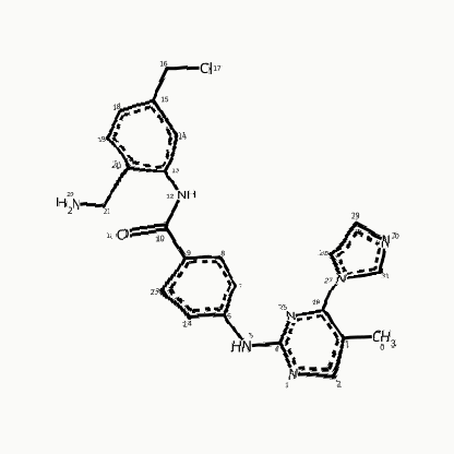 Cc1cnc(Nc2ccc(C(=O)Nc3cc(CCl)ccc3CN)cc2)nc1-n1ccnc1